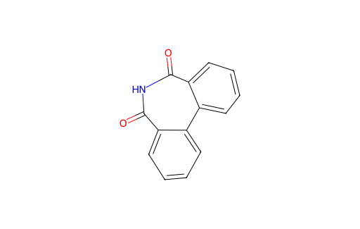 O=c1[nH]c(=O)c2ccccc2c2ccccc12